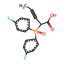 CC#CC(C(=O)O)P(=O)(c1ccc(F)cc1)c1ccc(F)cc1